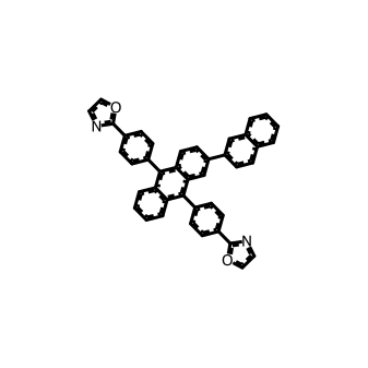 c1ccc2cc(-c3ccc4c(-c5ccc(-c6ncco6)cc5)c5ccccc5c(-c5ccc(-c6ncco6)cc5)c4c3)ccc2c1